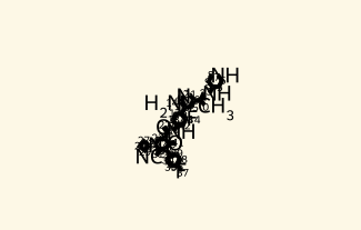 C/C(=C\NC1CCNCC1)c1cnc(N)c(-c2ccc(NC(=O)c3cn(C4CCC4)c(C#N)c(-c4ccc(F)cc4)c3=O)cc2F)c1